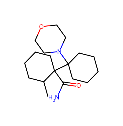 CC1CCCCC1(C(N)=O)C1(N2CCOCC2)CCCCC1